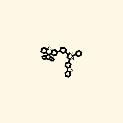 c1ccc(-c2nc(-c3cccc(-c4ccc5c(c4)Oc4ccccc4C54c5ccccc5-c5ccccc54)c3)cc(-c3ccc4c(c3)sc3ccccc34)n2)cc1